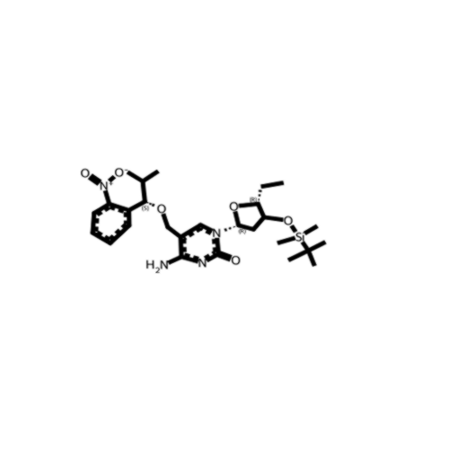 CC[C@H]1O[C@@H](n2cc(CO[C@H](c3ccccc3[N+](=O)[O-])C(C)C)c(N)nc2=O)CC1O[Si](C)(C)C(C)(C)C